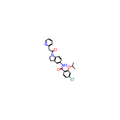 CC(C)Oc1cc(Cl)ccc1C(=O)Nc1ccc2c(c1)CCN2C(=O)Cc1ccccn1